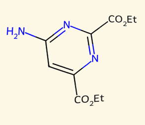 CCOC(=O)c1cc(N)nc(C(=O)OCC)n1